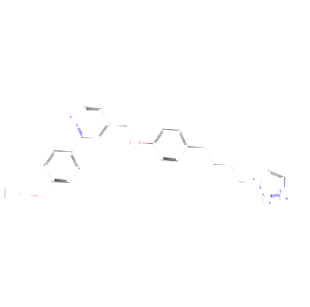 FC(F)(F)Oc1ccc(-c2cc(COc3ccc(CCCCn4ccnn4)cc3)ccn2)cc1